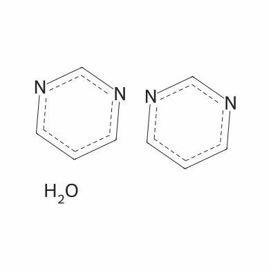 O.c1cncnc1.c1cncnc1